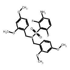 COc1ccc(CN(Cc2ccc(OC)cc2OC)S(=O)(=O)c2c(F)ccc(N)c2F)c(OC)c1